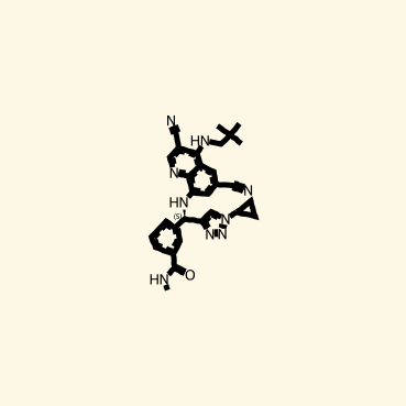 CNC(=O)c1cccc([C@H](Nc2cc(C#N)cc3c(NCC(C)(C)C)c(C#N)cnc23)c2cn(C3CC3)nn2)c1